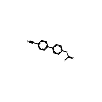 N#Cc1ccc(-c2ccc(OC(=O)I)cc2)cc1